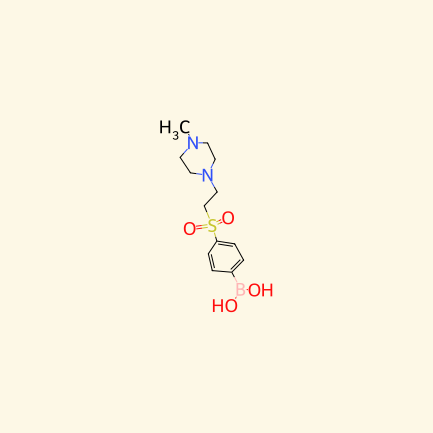 CN1CCN(CCS(=O)(=O)c2ccc(B(O)O)cc2)CC1